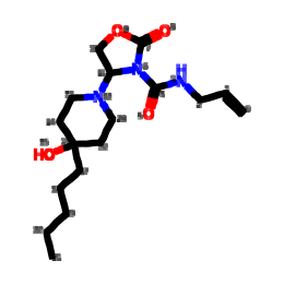 C=CCNC(=O)N1C(=O)OCC1N1CCC(O)(CCCCC)CC1